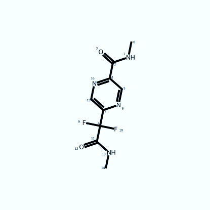 CNC(=O)c1cnc(C(F)(F)C(=O)NC)cn1